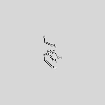 C=C.C=CF.C=CF.O=C(O)O